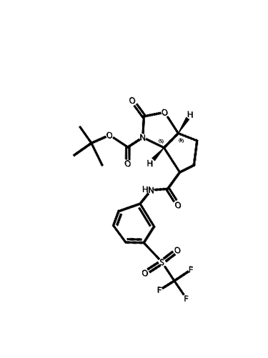 CC(C)(C)OC(=O)N1C(=O)O[C@@H]2CCC(C(=O)Nc3cccc(S(=O)(=O)C(F)(F)F)c3)[C@@H]21